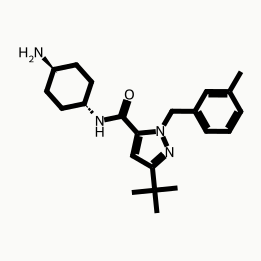 Cc1cccc(Cn2nc(C(C)(C)C)cc2C(=O)N[C@H]2CC[C@H](N)CC2)c1